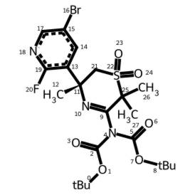 CC(C)(C)OC(=O)N(C(=O)OC(C)(C)C)C1=N[C@](C)(c2cc(Br)cnc2F)CS(=O)(=O)C1(C)C